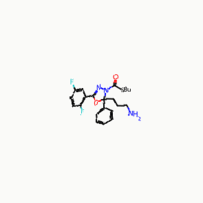 CCC(C)C(=O)N1N=C(c2cc(F)ccc2F)OC1(CCCN)c1ccccc1